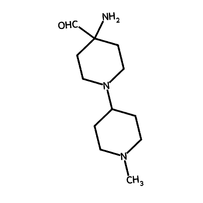 CN1CCC(N2CCC(N)(C=O)CC2)CC1